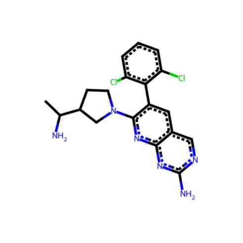 CC(N)C1CCN(c2nc3nc(N)ncc3cc2-c2c(Cl)cccc2Cl)C1